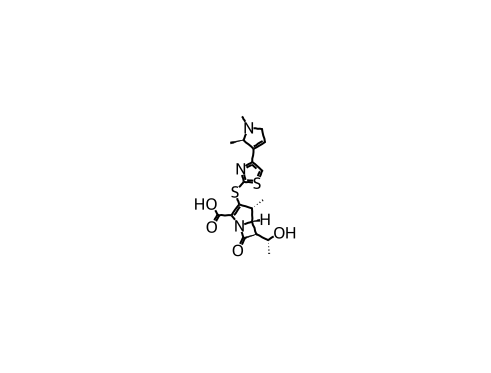 C[C@@H]1C(c2csc(SC3=C(C(=O)O)N4C(=O)[C@H]([C@@H](C)O)[C@H]4[C@H]3C)n2)=CCN1C